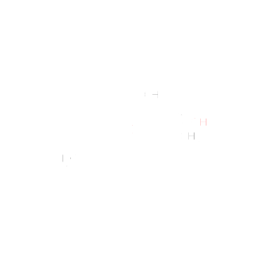 C=CC=CC=CC(=O)CC(C)CCCC(C)(C)O